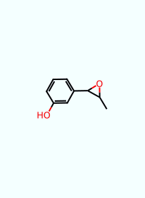 CC1OC1c1cccc(O)c1